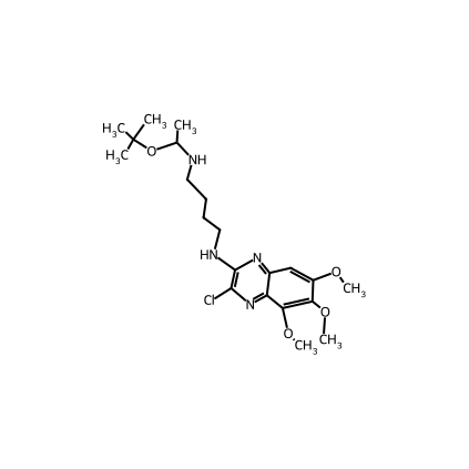 COc1cc2nc(NCCCCNC(C)OC(C)(C)C)c(Cl)nc2c(OC)c1OC